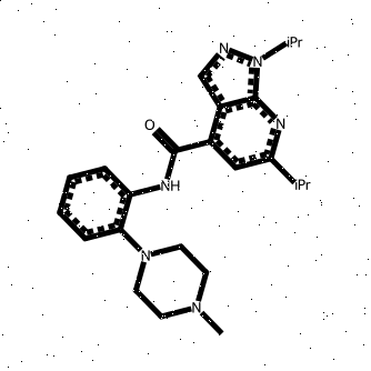 CC(C)c1cc(C(=O)Nc2ccccc2N2CCN(C)CC2)c2cnn(C(C)C)c2n1